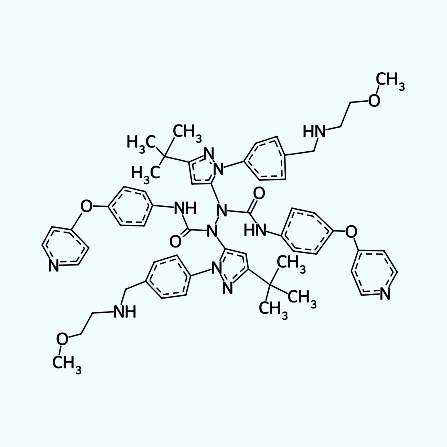 COCCNCc1ccc(-n2nc(C(C)(C)C)cc2N(C(=O)Nc2ccc(Oc3ccncc3)cc2)N(C(=O)Nc2ccc(Oc3ccncc3)cc2)c2cc(C(C)(C)C)nn2-c2ccc(CNCCOC)cc2)cc1